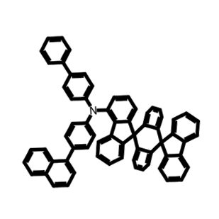 c1ccc(-c2ccc(N(c3ccc(-c4cccc5ccccc45)cc3)c3cccc4c3-c3ccccc3C43c4ccccc4C4(c5ccccc5-c5ccccc54)c4ccccc43)cc2)cc1